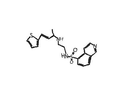 CC(C=Cc1cccs1)NCCNS(=O)(=O)c1cccc2cnccc12